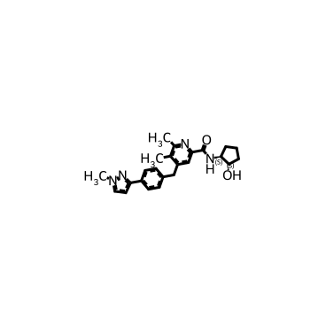 Cc1nc(C(=O)N[C@H]2CCC[C@@H]2O)cc(Cc2ccc(-c3ccn(C)n3)cc2)c1C